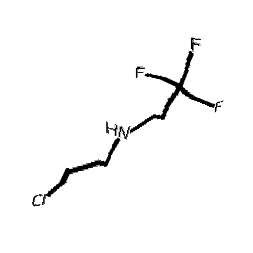 FC(F)(F)CNCCCl